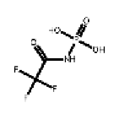 O=C(NP(=O)(O)O)C(F)(F)F